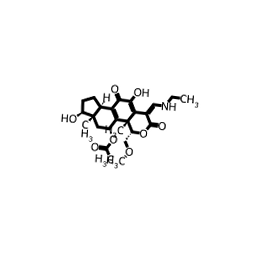 CCNC=C1C(=O)O[C@H](COC)[C@@]2(C)C1=C(O)C(=O)C1=C2[C@H](OC(C)=O)C[C@]2(C)[C@@H](O)CC[C@@H]12